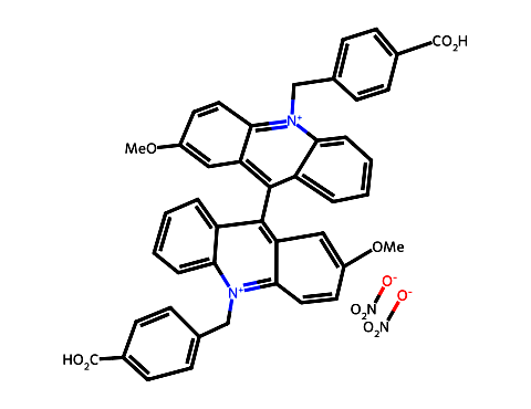 COc1ccc2c(c1)c(-c1c3ccccc3[n+](Cc3ccc(C(=O)O)cc3)c3ccc(OC)cc13)c1ccccc1[n+]2Cc1ccc(C(=O)O)cc1.O=[N+]([O-])[O-].O=[N+]([O-])[O-]